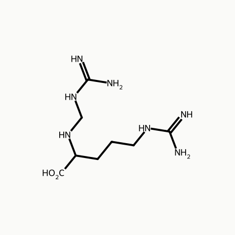 N=C(N)NCCCC(NCNC(=N)N)C(=O)O